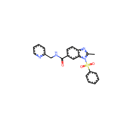 Cc1nc2ccc(C(=O)NCc3ccccn3)cc2n1S(=O)(=O)c1ccccc1